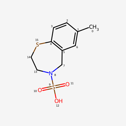 Cc1ccc2c(c1)CN(S(=O)(=O)O)CCS2